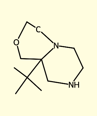 CC(C)(C)C12CNCCN1CCOC2